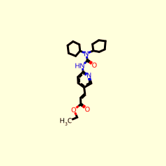 CCOC(=O)/C=C/c1ccc(NC(=O)N(C2CCCCC2)C2CCCCC2)nc1